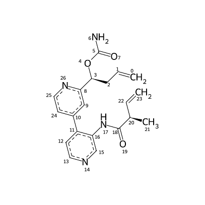 C=CC[C@H](OC(N)=O)c1cc(-c2ccncc2NC(=O)[C@H](C)C=C)ccn1